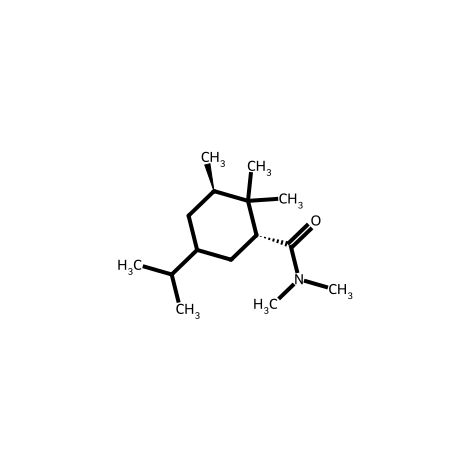 CC(C)C1C[C@@H](C)C(C)(C)[C@H](C(=O)N(C)C)C1